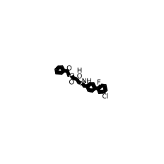 NN(Cc1ccc(-c2cc(Cl)ccc2F)cc1)CC(O)C(=O)OCC(=O)c1ccccc1